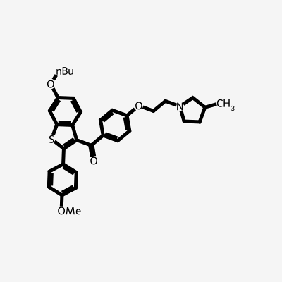 CCCCOc1ccc2c(C(=O)c3ccc(OCCN4CCC(C)C4)cc3)c(-c3ccc(OC)cc3)sc2c1